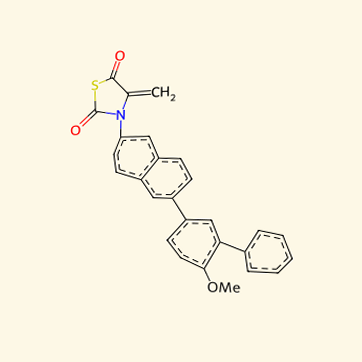 C=C1C(=O)SC(=O)N1c1ccc2cc(-c3ccc(OC)c(-c4ccccc4)c3)ccc2c1